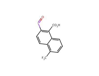 O=Ic1ccc2c(C(F)(F)F)cccc2c1C(=O)O